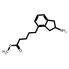 COC(=O)CCCCc1cccc2c1CC(N)C2